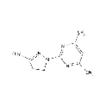 Cc1cc(C)nc(N2CCC(N)=N2)n1